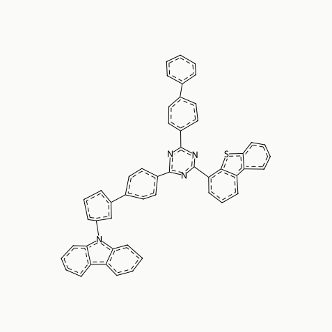 c1ccc(-c2ccc(-c3nc(-c4ccc(-c5cccc(-n6c7ccccc7c7ccccc76)c5)cc4)nc(-c4cccc5c4sc4ccccc45)n3)cc2)cc1